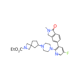 CCOC(=O)N1CC2(CC[C@@H](N3CCN(c4ncc(F)cc4-c4ccc5c(c4)CN(C)C5=O)CC3)C2)C1